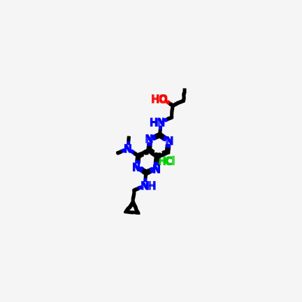 CCC(O)CNc1ncc2nc(NCC3CC3)nc(N(C)C)c2n1.Cl